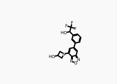 OC1CN(c2cc(-c3cccc(C(O)C(F)(F)F)c3)cc3nonc23)C1